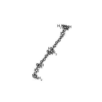 Nc1ccnc(OCc2ccc(CNC(=O)NCCOCCOCCOCCNC(=O)C(N)CC(=O)NCCOCCOCCOCCOCc3ccc(COc4nc(N)nc5[nH]cnc45)cc3)cc2)n1